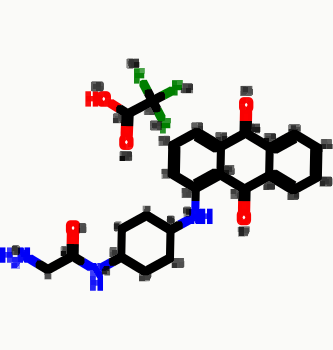 NCC(=O)NC1CCC(Nc2cccc3c2C(=O)c2ccccc2C3=O)CC1.O=C(O)C(F)(F)F